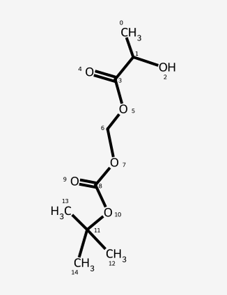 CC(O)C(=O)OCOC(=O)OC(C)(C)C